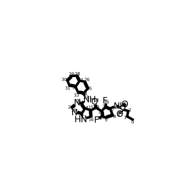 CCCS(=O)(=O)Nc1ccc(F)c(C(=O)c2c[nH]c3ncnc(Nc4ccc5ccccc5c4)c23)c1F